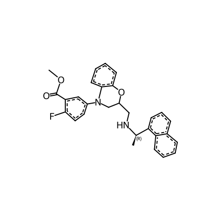 COC(=O)c1cc(N2CC(CN[C@H](C)c3cccc4ccccc34)Oc3ccccc32)ccc1F